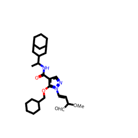 COC(C=O)/C=C/n1ncc(C(=O)NC(C)C2CC3CCCC(C3)C2)c1OCC1CCCCC1